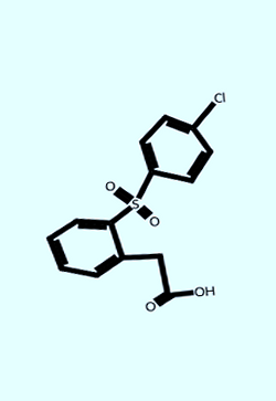 O=C(O)Cc1ccccc1S(=O)(=O)c1ccc(Cl)cc1